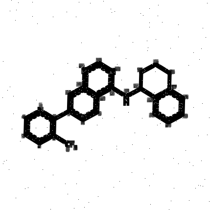 FC(F)(F)c1cccnc1-c1ccc2c(NC3CCCc4ccccc43)ncnc2c1